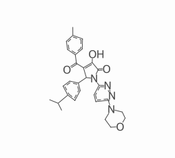 Cc1ccc(C(=O)C2=C(O)C(=O)N(c3ccc(N4CCOCC4)nn3)C2c2ccc(C(C)C)cc2)cc1